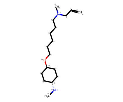 C=CCN(C)CCCCCCO[C@H]1CC[C@H](NC)CC1